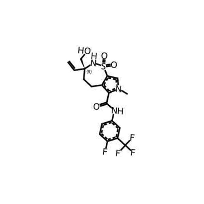 C=C[C@@]1(CO)CCc2c(cn(C)c2C(=O)Nc2ccc(F)c(C(F)(F)F)c2)S(=O)(=O)N1